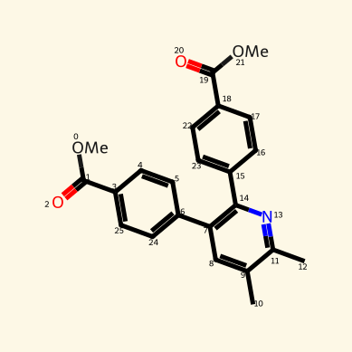 COC(=O)c1ccc(-c2cc(C)c(C)nc2-c2ccc(C(=O)OC)cc2)cc1